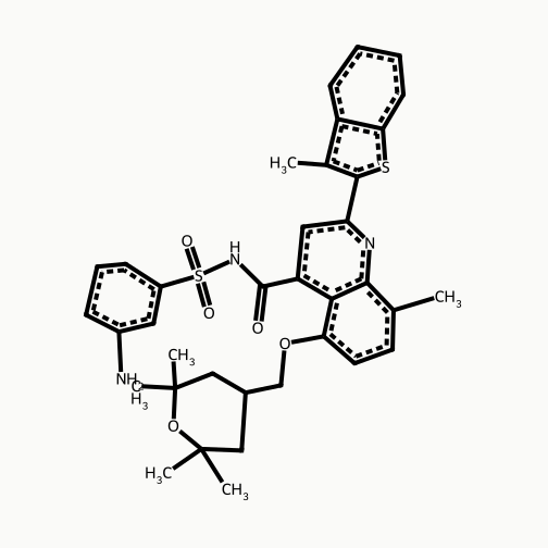 Cc1c(-c2cc(C(=O)NS(=O)(=O)c3cccc(N)c3)c3c(OCC4CC(C)(C)OC(C)(C)C4)ccc(C)c3n2)sc2ccccc12